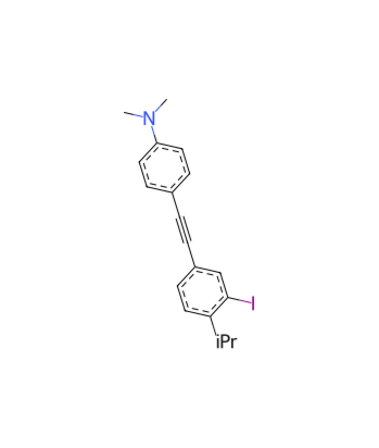 CC(C)c1ccc(C#Cc2ccc(N(C)C)cc2)cc1I